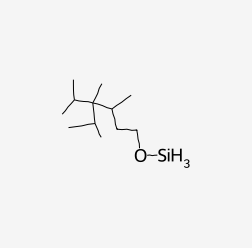 CC(C)C(C)(C(C)C)C(C)CCO[SiH3]